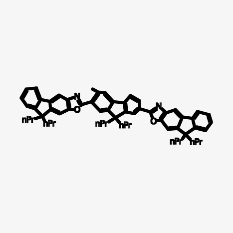 CCCC1(CCC)c2cc(-c3nc4cc5c(cc4o3)C(CCC)(CCC)c3ccccc3-5)ccc2-c2cc(C)c(-c3nc4cc5c(cc4o3)C(CCC)(CCC)c3ccccc3-5)cc21